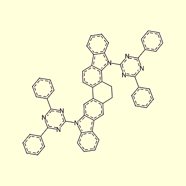 c1ccc(-c2nc(-c3ccccc3)nc(-n3c4ccccc4c4cc5c(cc43)-c3ccc4c6ccccc6n(-c6nc(-c7ccccc7)nc(-c7ccccc7)n6)c4c3CC5)n2)cc1